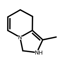 CC1=C2CCC=CN2CN1